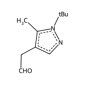 Cc1c(CC=O)cnn1C(C)(C)C